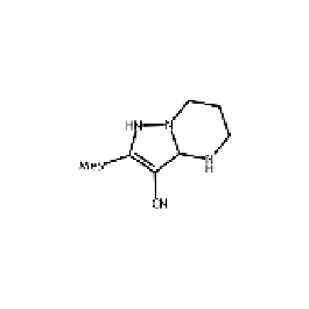 CSC1=C(C#N)C2NCCCN2N1